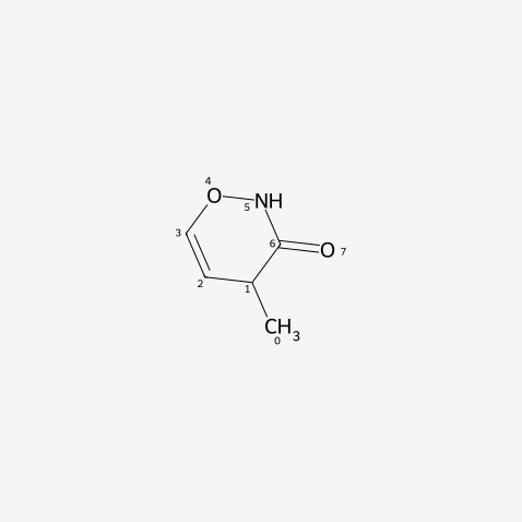 CC1C=CONC1=O